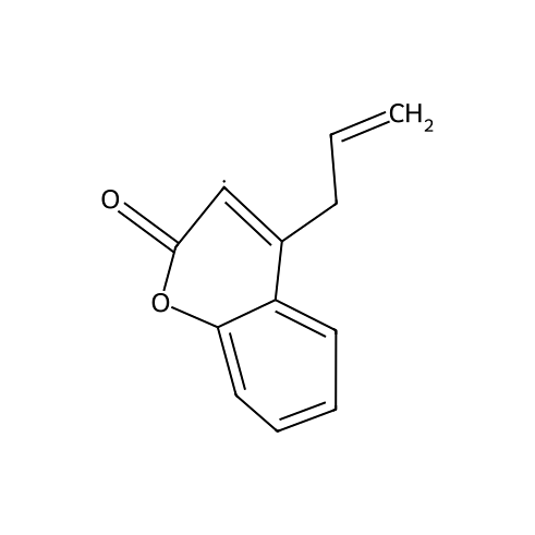 C=CCc1[c]c(=O)oc2ccccc12